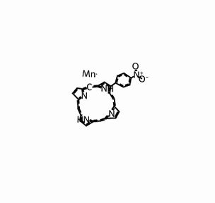 O=[N+]([O-])c1ccc(-c2cc3cc4nc(cc5ccc(cc6nc(cc2[nH]3)C=C6)[nH]5)C=C4)cc1.[Mn]